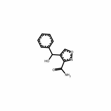 NC(=O)c1nocc1C(O)c1ccccc1